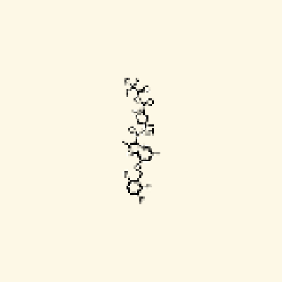 CCC(C)(CNC(=O)OC(=O)C(F)(F)F)NC(=O)c1c(C)nc2c(OCc3c(F)ccc(F)c3F)cc(C)cn12